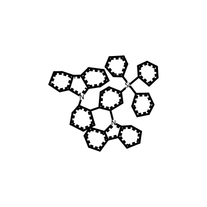 c1ccc([Si](c2ccccc2)(c2ccccc2)c2ccc(-c3ccccc3-n3c4ccccc4c4ccccc43)c(-n3c4ccccc4c4ccccc43)c2)cc1